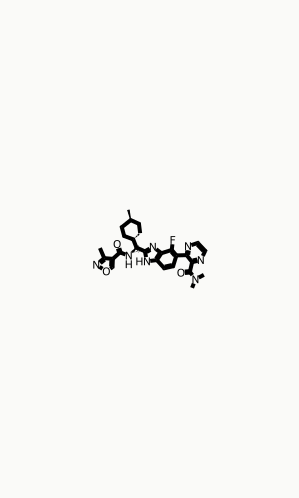 Cc1nocc1C(=O)N[C@H](c1nc2c(F)c(-c3nccnc3C(=O)N(C)C)ccc2[nH]1)[C@H]1CC[C@H](C)CC1